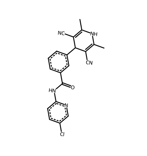 CC1=C(C#N)C(c2cccc(C(=O)Nc3ccc(Cl)cn3)c2)C(C#N)=C(C)N1